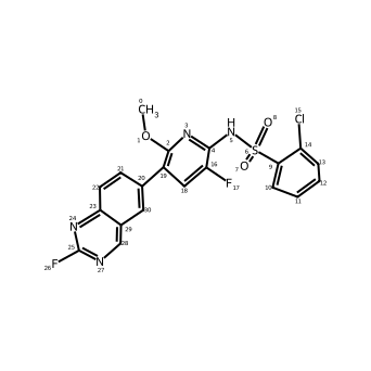 COc1nc(NS(=O)(=O)c2ccccc2Cl)c(F)cc1-c1ccc2nc(F)ncc2c1